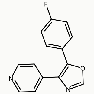 Fc1ccc(-c2ocnc2-c2ccncc2)cc1